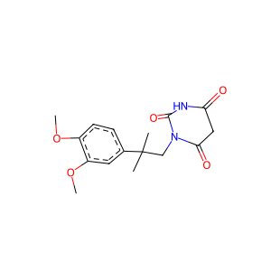 COc1ccc(C(C)(C)CN2C(=O)CC(=O)NC2=O)cc1OC